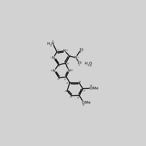 CCN(CC)c1nc(N)nc2ncc(-c3ccc(OC)c(OC)c3)nc12.O